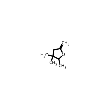 C=C1CC(C)(C)C(C)O1